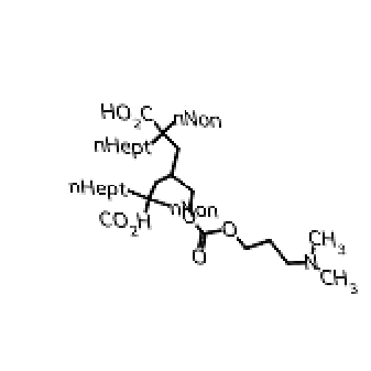 CCCCCCCCCC(CCCCCCC)(CC(COC(=O)OCCCN(C)C)CC(CCCCCCC)(CCCCCCCCC)C(=O)O)C(=O)O